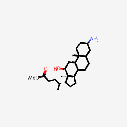 COC(=O)CCC(C)[C@H]1CCC2C3CCC4CC(N)CCC4(C)C3CC(O)[C@@]21C